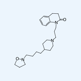 O=C1CCc2ccccc2N1CCCN1CCC(CCCCN2CCCO2)CC1